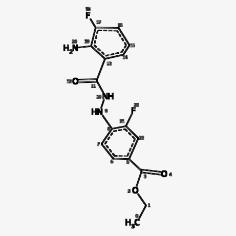 CCOC(=O)c1ccc(NNC(=O)c2cccc(F)c2N)c(F)c1